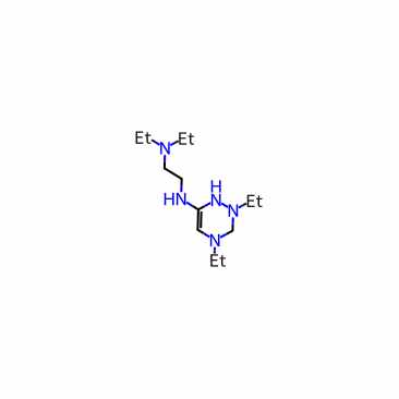 CCN1C=C(NCCN(CC)CC)NN(CC)C1